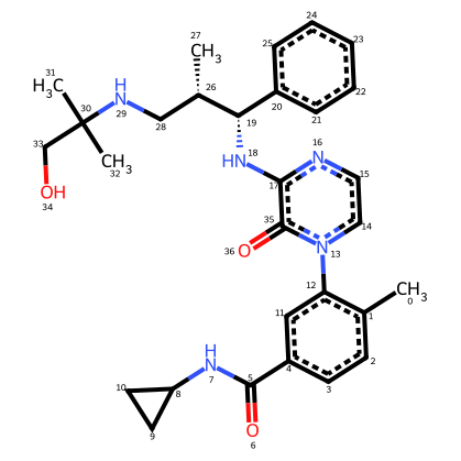 Cc1ccc(C(=O)NC2CC2)cc1-n1ccnc(N[C@@H](c2ccccc2)[C@@H](C)CNC(C)(C)CO)c1=O